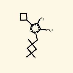 CC1(Cn2nc(C3CCC3)c(C(F)(F)F)c2C(=O)O)CC(F)(F)C1